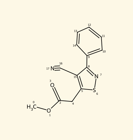 COC(=O)Cc1snc(-c2ccccc2)c1C#N